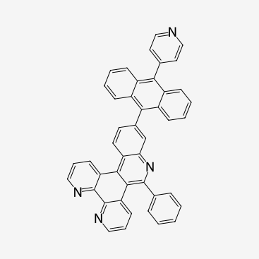 c1ccc(-c2nc3cc(-c4c5ccccc5c(-c5ccncc5)c5ccccc45)ccc3c3c4cccnc4c4ncccc4c23)cc1